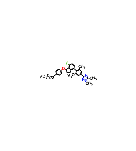 Cc1cc(-c2nc(C)n(C)n2)cc(C)c1-c1ccc(F)c2c1CCC2Oc1ccc(C2C[C@@H]2C(=O)O)cc1